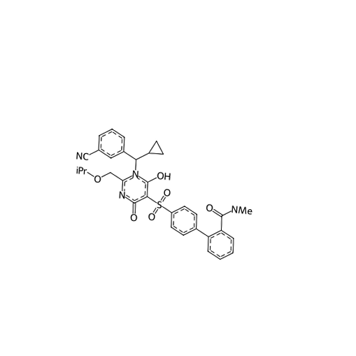 CNC(=O)c1ccccc1-c1ccc(S(=O)(=O)c2c(O)n(C(c3cccc(C#N)c3)C3CC3)c(COC(C)C)nc2=O)cc1